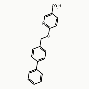 O=C(O)c1ccc(OCc2ccc(-c3ccccc3)cc2)nc1